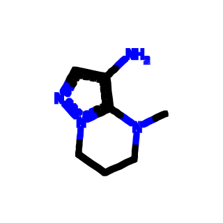 CN1CCCn2ncc(N)c21